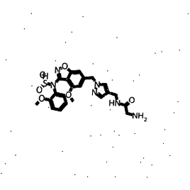 COc1ccccc1N(c1noc2cc(Cn3cc(CNC(=O)CN)cn3)cc(OC)c12)[SH](=O)=O